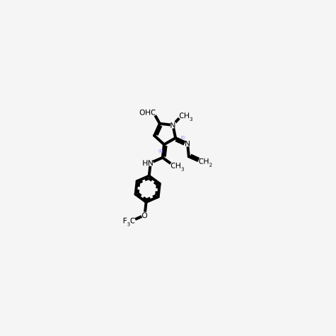 C=C/N=C1\C(=C(/C)Nc2ccc(OC(F)(F)F)cc2)C=C(C=O)N1C